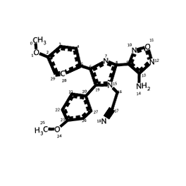 COc1ccc(-c2nc(-c3nonc3N)n(CC#N)c2-c2ccc(OC)cc2)cc1